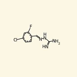 N=C(N)NN=Cc1ccc(Cl)cc1F